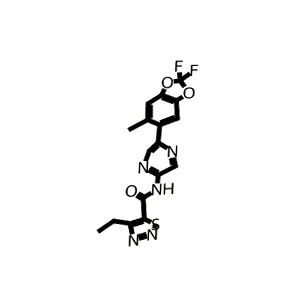 CCc1nnsc1C(=O)Nc1cnc(-c2cc3c(cc2C)OC(F)(F)O3)cn1